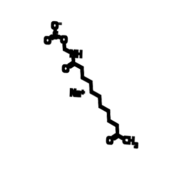 CC(=O)CCCCCCCCCC(=O)NCOS(=O)[O-].[Na+]